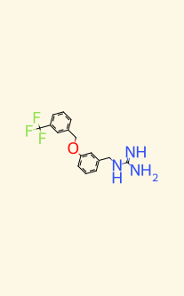 N=C(N)NCc1cccc(OCc2cccc(C(F)(F)F)c2)c1